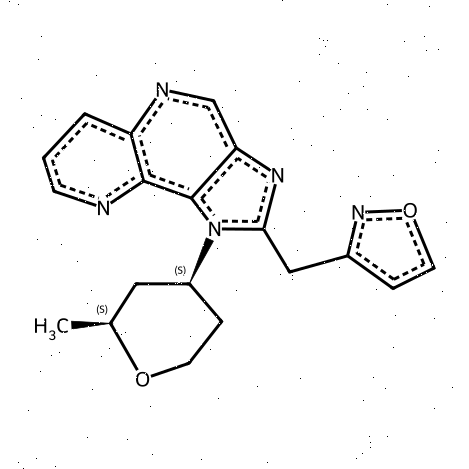 C[C@H]1C[C@@H](n2c(Cc3ccon3)nc3cnc4cccnc4c32)CCO1